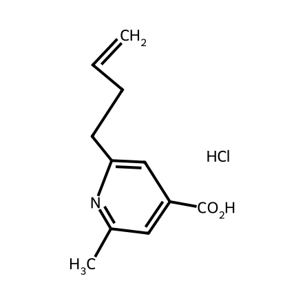 C=CCCc1cc(C(=O)O)cc(C)n1.Cl